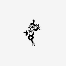 CCc1cnn2c(N(Cc3cccc(C#N)c3)C(=O)OC(C)(C)C)cc(Cl)nc12